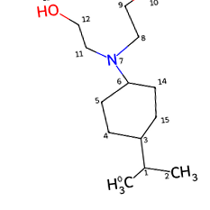 CC(C)C1CCC(N(CCO)CCO)CC1